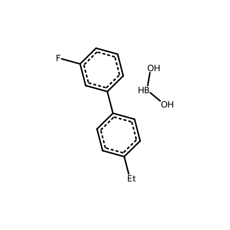 CCc1ccc(-c2cccc(F)c2)cc1.OBO